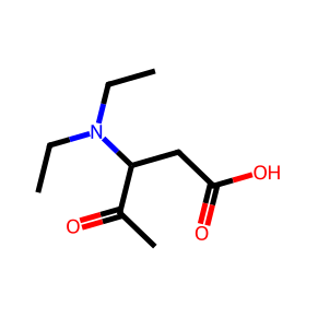 CCN(CC)C(CC(=O)O)C(C)=O